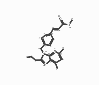 CCCc1nc2c(C)cc(C)nc2n1Cc1ccc(C=CC(=O)OC)cc1